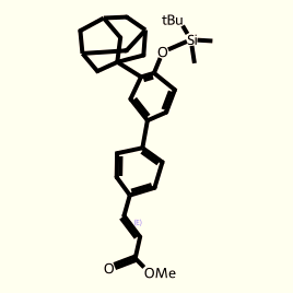 COC(=O)/C=C/c1ccc(-c2ccc(O[Si](C)(C)C(C)(C)C)c(C34CC5CC(CC(C5)C3)C4)c2)cc1